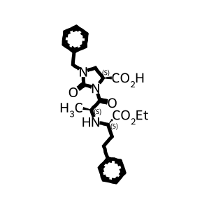 CCOC(=O)[C@H](CCc1ccccc1)N[C@@H](C)C(=O)N1C(=O)N(Cc2ccccc2)C[C@H]1C(=O)O